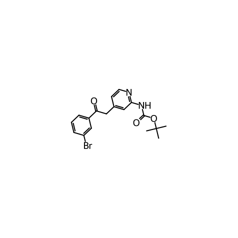 CC(C)(C)OC(=O)Nc1cc(CC(=O)c2cccc(Br)c2)ccn1